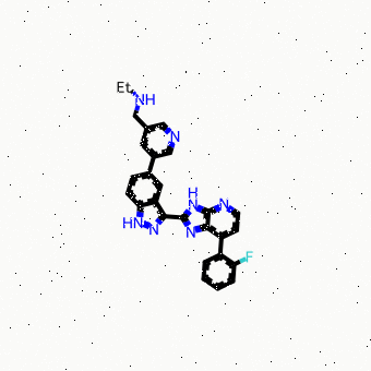 CCNCc1cncc(-c2ccc3[nH]nc(-c4nc5c(-c6ccccc6F)ccnc5[nH]4)c3c2)c1